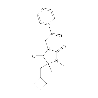 CN1C(=O)N(CC(=O)c2ccccc2)C(=O)C1(C)CC1CCC1